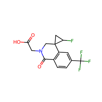 O=C(O)CN1CC2(CC2F)c2cc(C(F)(F)F)ccc2C1=O